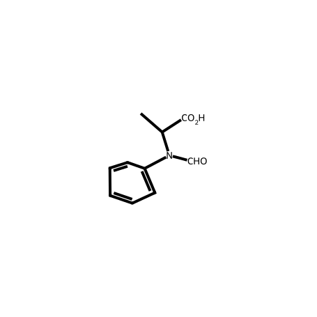 CC(C(=O)O)N(C=O)c1ccccc1